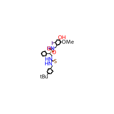 COc1cc(CNS(=O)(=O)C(CNC(=S)NCc2ccc(C(C)(C)C)cc2)c2ccccc2)c(I)cc1O